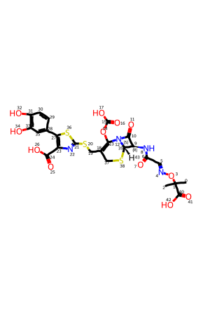 CC(C)(ON=CC(=O)N[C@@H]1C(=O)N2C(OC(=O)O)=C(CSc3nc(C(=O)O)c(-c4ccc(O)c(O)c4)s3)CS[C@@H]12)C(=O)O